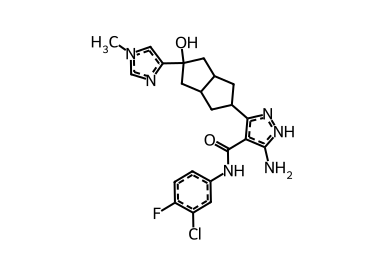 Cn1cnc(C2(O)CC3CC(c4n[nH]c(N)c4C(=O)Nc4ccc(F)c(Cl)c4)CC3C2)c1